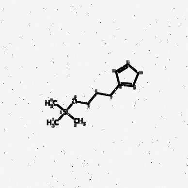 C[Si](C)(C)OCCCC1=[C]CC=C1